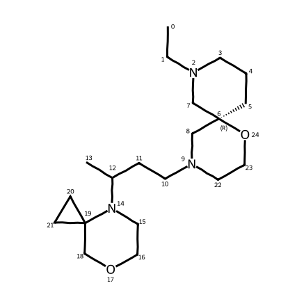 CCN1CCC[C@@]2(C1)CN(CCC(C)N1CCOCC13CC3)CCO2